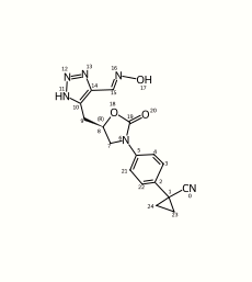 N#CC1(c2ccc(N3C[C@@H](Cc4[nH]nnc4C=NO)OC3=O)cc2)CC1